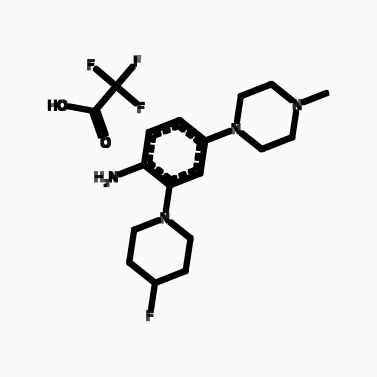 CN1CCN(c2ccc(N)c(N3CCC(F)CC3)c2)CC1.O=C(O)C(F)(F)F